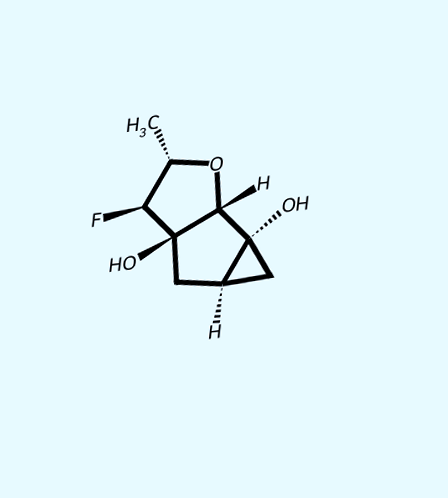 C[C@@H]1O[C@@H]2[C@@]3(O)C[C@H]3C[C@]2(O)[C@H]1F